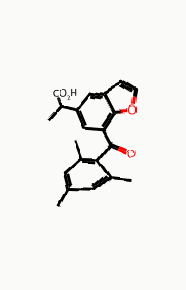 Cc1cc(C)c(C(=O)c2cc(C(C)C(=O)O)cc3ccoc23)c(C)c1